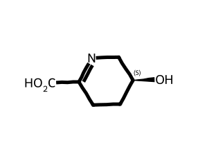 O=C(O)C1=NC[C@@H](O)CC1